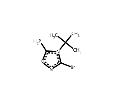 CC(C)(C)n1c(P)nnc1Br